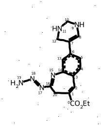 CCOC(=O)C1=Cc2ccc(C3=CNCNC3)cc2N=C(N=NN)C1